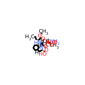 CC(C)(C)N.CCC[C@H](N[C@@H](C)C(=O)N1[C@H](C(=O)O)C[C@@H]2CCCC[C@@H]21)C(=O)OCC.O.O